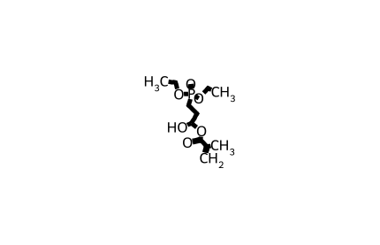 C=C(C)C(=O)OC(O)CCP(=O)(OCC)OCC